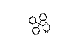 c1ccc(C(c2ccccc2)(c2ccccc2)C2C[N]CCO2)cc1